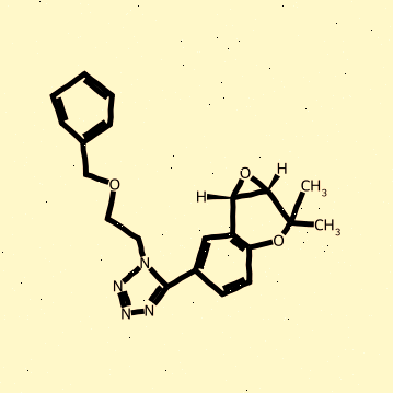 CC1(C)Oc2ccc(-c3nnnn3CCOCc3ccccc3)cc2[C@@H]2O[C@@H]21